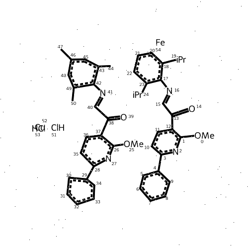 COc1nc(-c2ccccc2)ccc1C(=O)C=Nc1c(C(C)C)cccc1C(C)C.COc1nc(-c2ccccc2)ccc1C(=O)C=Nc1c(C)cc(C)cc1C.Cl.Cl.[Cu].[Fe]